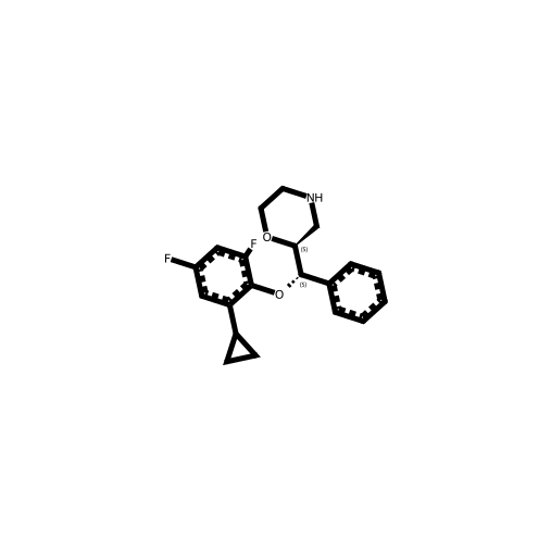 Fc1cc(F)c(O[C@@H](c2ccccc2)[C@@H]2CNCCO2)c(C2CC2)c1